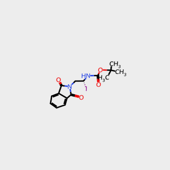 CC(C)(C)OC(=O)N[C@H](I)CN1C(=O)c2ccccc2C1=O